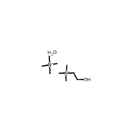 C[N+](C)(C)C.C[N+](C)(C)CCO.O